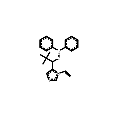 C=Cn1cncc1C(O[SiH](c1ccccc1)c1ccccc1)C(C)(C)C